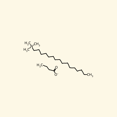 CCCC(=O)[O-].CCCCCCCCCCCCCCCC[N+](C)(C)C